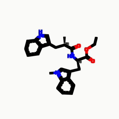 CCOC(=O)[C@@H](Cc1cn(C)c2ccccc12)NC(=O)[C@@H](C)Cc1c[nH]c2ccccc12